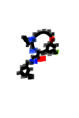 C#CCC1CNC(C(O)CNCc2cccc(CC)c2)Cc2cc(F)cc(c2)OCCCCCN1